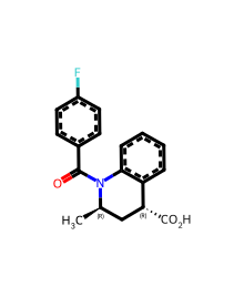 C[C@@H]1C[C@@H](C(=O)O)c2ccccc2N1C(=O)c1ccc(F)cc1